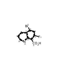 O=C(O)c1c(F)cc(Br)c2cccnc12